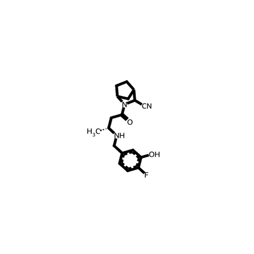 C[C@H](CC(=O)N1C2CCC(C2)C1C#N)NCc1ccc(F)c(O)c1